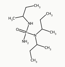 CCC(C)NP(N)(=O)N(C(C)CC)C(C)CC